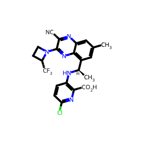 Cc1cc([C@@H](C)Nc2ccc(Cl)nc2C(=O)O)c2nc(N3CCC3C(F)(F)F)c(C#N)nc2c1